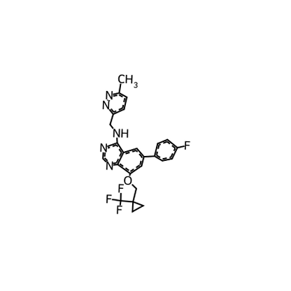 Cc1ccc(CNc2ncnc3c(OCC4(C(F)(F)F)CC4)cc(-c4ccc(F)cc4)cc23)nn1